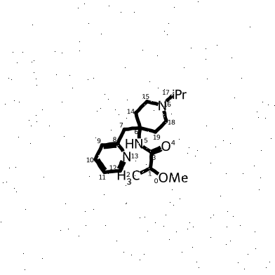 COC(C)C(=O)NC1(Cc2ccccn2)CCN(C(C)C)CC1